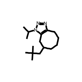 CC(C)n1nnc2c1CC(CC(C)(C)C)CCCC2